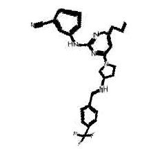 CCCc1cc(N2CCC(NCc3ccc(C(F)(F)F)cc3)C2)nc(Nc2cccc(C#N)c2)n1